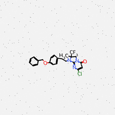 CC1(C(F)(F)F)Cn2c(nc(Cl)cc2=O)N1CCc1ccc(OCc2ccccc2)cc1